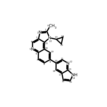 Cc1nc2cnc3ccc(-c4cnc5[nH]ccc5c4)cc3c2n1C1CC1